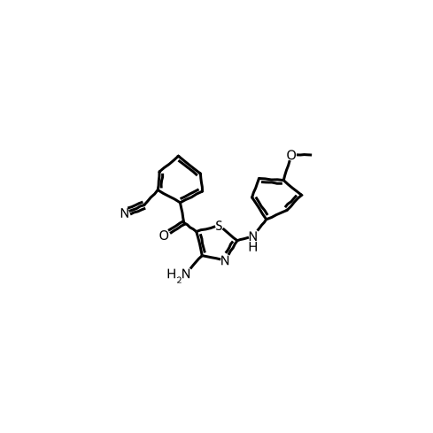 COc1ccc(Nc2nc(N)c(C(=O)c3ccccc3C#N)s2)cc1